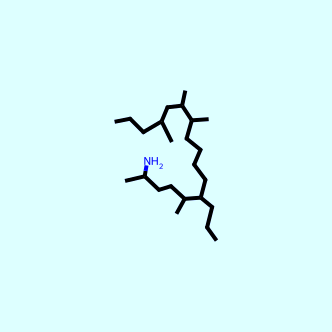 CCCC(C)CC(C)C(C)CCCCC(CCC)C(C)CCC(C)N